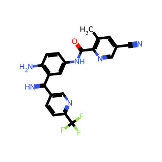 Cc1cc(C#N)cnc1C(=O)Nc1ccc(N)c(C(=N)c2ccc(C(F)(F)F)nc2)c1